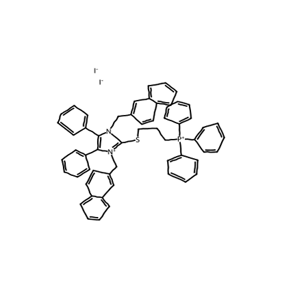 [I-].[I-].c1ccc(-c2c(-c3ccccc3)[n+](Cc3ccc4ccccc4c3)c(SCCC[P+](c3ccccc3)(c3ccccc3)c3ccccc3)n2Cc2ccc3ccccc3c2)cc1